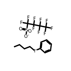 CCCC[I+]c1ccccc1.O=S(=O)([O-])C(F)(F)C(F)(F)C(F)(F)C(F)(F)F